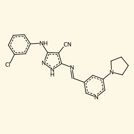 N#Cc1c(Nc2cccc(Cl)c2)n[nH]c1/N=C/c1cncc(N2CCCC2)c1